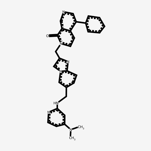 CN(C)c1ccnc(NCc2ccc3nc(Cn4ccc5c(-c6ccccc6)cncc5c4=O)cn3c2)c1